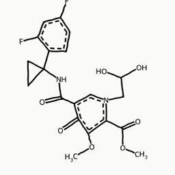 COC(=O)c1c(OC)c(=O)c(C(=O)NC2(c3ccc(F)cc3F)CC2)cn1CC(O)O